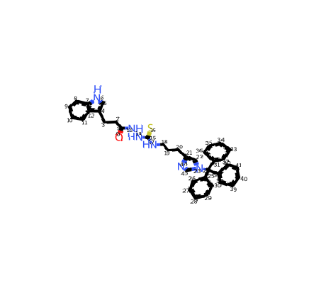 O=C(CCc1c[nH]c2ccccc12)NNC(=S)NCCCc1cn(C(c2ccccc2)(c2ccccc2)c2ccccc2)cn1